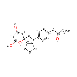 COC(=O)Cc1ccc(CCC2(C3CCCC3)CC(=O)CC(=O)O2)cc1